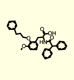 COc1cccc(CC(NC(=O)C(c2ccccc2)c2ccccc2)C(=O)O)c1OCCCc1ccccc1